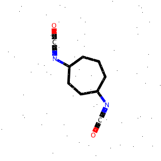 O=C=NC1CCCC(N=C=O)CC1